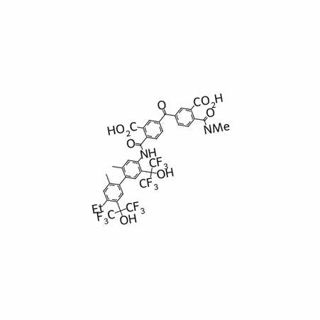 CCc1cc(C)c(-c2cc(C(O)(C(F)(F)F)C(F)(F)F)c(NC(=O)c3ccc(C(=O)c4ccc(C(=O)NC)c(C(=O)O)c4)cc3C(=O)O)cc2C)cc1C(O)(C(F)(F)F)C(F)(F)F